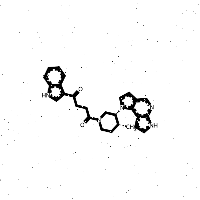 C[C@@H]1CCN(C(=O)CCC(=O)c2c[nH]c3ccccc23)C[C@@H]1n1ccc2cnc3[nH]ccc3c21